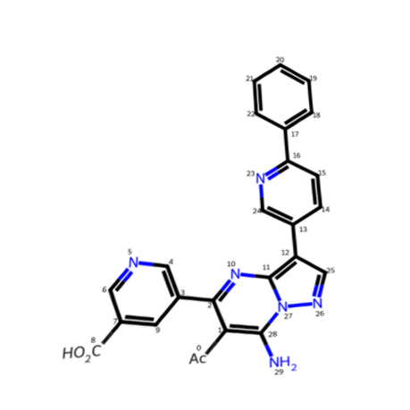 CC(=O)c1c(-c2cncc(C(=O)O)c2)nc2c(-c3ccc(-c4ccccc4)nc3)cnn2c1N